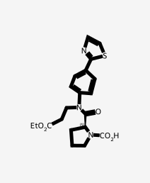 CCOC(=O)CCN(C(=O)[C@@H]1CCCN1C(=O)O)c1ccc(-c2nccs2)cc1